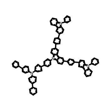 c1ccc(-c2ccc(N(c3ccc(-c4ccccc4)cc3)c3ccc(-c4ccc(-n5c6ccc(-c7ccc(-c8ccc9c(c8)c8ccccc8n9-c8ccccc8)cc7)cc6c6cc(-c7ccc(-c8ccc9c(c8)c8ccccc8n9-c8ccccc8)cc7)ccc65)cc4)cc3)cc2)cc1